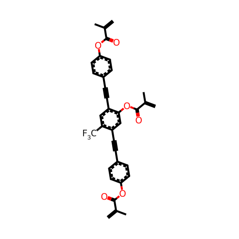 C=C(C)C(=O)Oc1ccc(C#Cc2cc(C(F)(F)F)c(C#Cc3ccc(OC(=O)C(=C)C)cc3)cc2OC(=O)C(=C)C)cc1